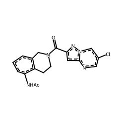 CC(=O)Nc1cccc2c1CCN(C(=O)c1cc3ncc(Cl)cn3n1)C2